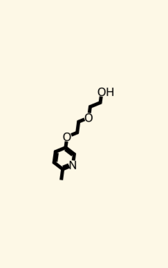 Cc1ccc(OCCOCCO)cn1